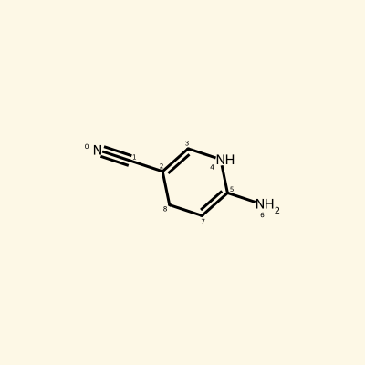 N#CC1=CNC(N)=CC1